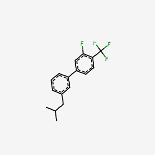 CC(C)Cc1cccc(-c2ccc(C(F)(F)F)c(F)c2)c1